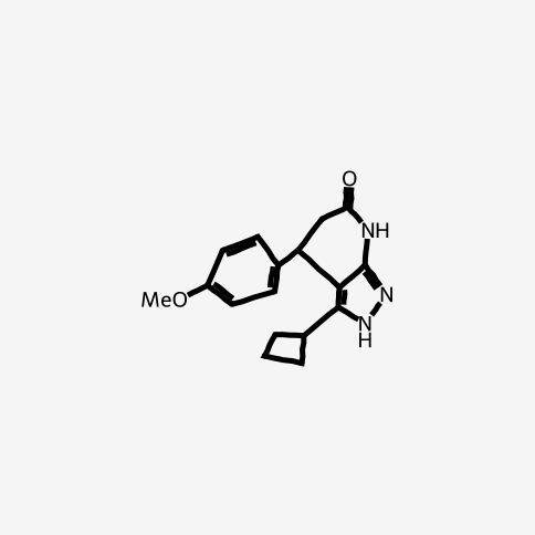 COc1ccc(C2CC(=O)Nc3n[nH]c(C4CCC4)c32)cc1